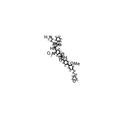 COc1cc(CCCN2CCOCC2)ccc1-c1ccc(C(=O)NS(=O)(=O)c2ccc(N[C@H](CCCCN)CS(=O)(=O)c3ccccc3)c([N+](=O)[O-])c2)cc1